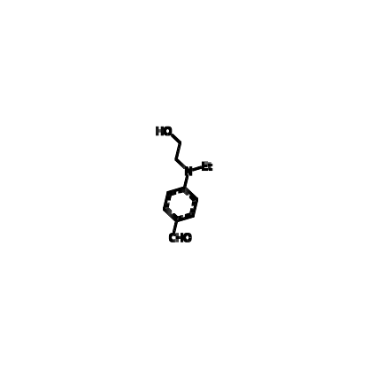 CCN(CCO)c1ccc(C=O)cc1